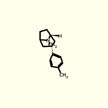 Cc1ccc([C@@H]2CC3CC[C@H](C2)N3C)cc1